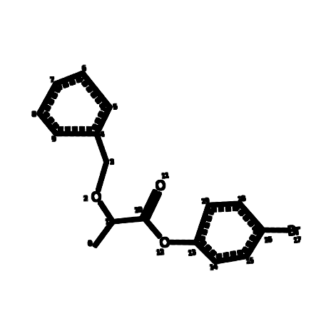 CC(OCc1ccccc1)C(=O)Oc1ccc(Br)cc1